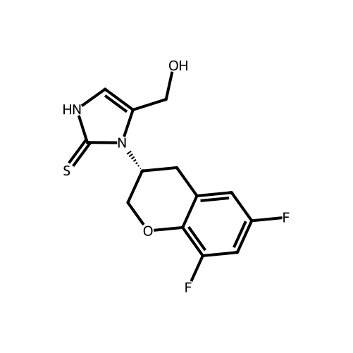 OCc1c[nH]c(=S)n1[C@H]1COc2c(F)cc(F)cc2C1